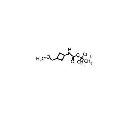 COCC1CC(NC(=O)OC(C)(C)C)C1